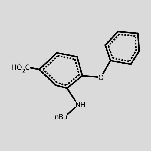 CCCCNc1cc(C(=O)O)ccc1Oc1ccccc1